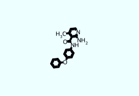 Cc1ccnc(N)c1C(=O)Nc1ccc(Oc2ccccc2)cc1